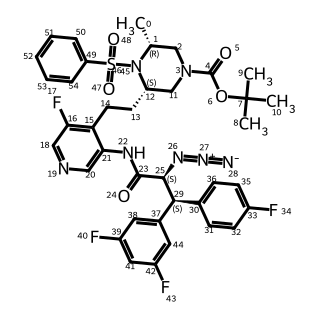 C[C@@H]1CN(C(=O)OC(C)(C)C)C[C@H](CCc2c(F)cncc2NC(=O)[C@@H](N=[N+]=[N-])[C@@H](c2ccc(F)cc2)c2cc(F)cc(F)c2)N1S(=O)(=O)c1ccccc1